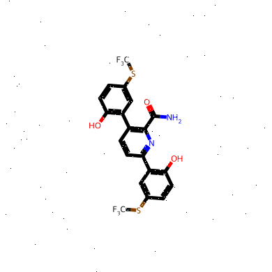 NC(=O)c1nc(-c2cc(SC(F)(F)F)ccc2O)ccc1-c1cc(SC(F)(F)F)ccc1O